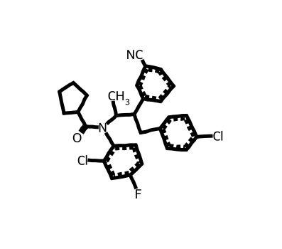 CC(C(Cc1ccc(Cl)cc1)c1cccc(C#N)c1)N(C(=O)C1CCCC1)c1ccc(F)cc1Cl